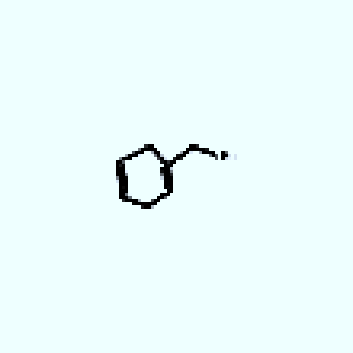 CCCCCC1=CCC=CC1